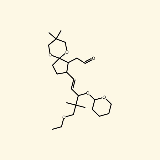 CCOCC(C)(C)C(C=CC1CCC2(OCC(C)(C)CO2)C1CC=O)OC1CCCCO1